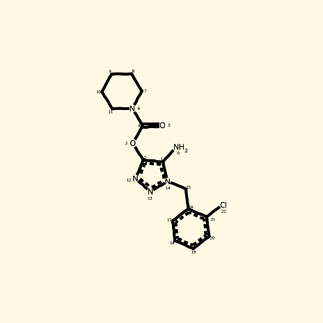 Nc1c(OC(=O)N2CCCCC2)nnn1Cc1ccccc1Cl